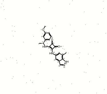 COc1cccc([C@H](C)Nc2c(Nc3cc(C)c4[nH]ncc4c3)c(=O)c2=O)c1